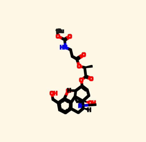 C[C@H](OC(=O)CCNC(=O)OC(C)(C)C)C(=O)OC1=CC[C@@]2(O)[C@H]3Cc4ccc(CO)c5c4[C@@]2(CCN3C)[C@H]1O5